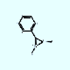 C[C@@H]1C(c2ccccc2)N1C